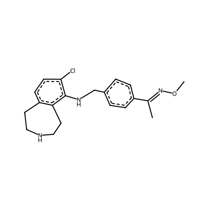 CON=C(C)c1ccc(CNc2c(Cl)ccc3c2CCNCC3)cc1